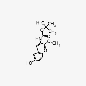 COC(=O)/C(=C\c1cccc(O)c1)NC(=O)OC(C)(C)C